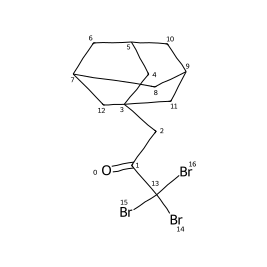 O=C(CC12CC3CC(CC(C3)C1)C2)C(Br)(Br)Br